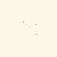 CCc1ccc(-c2cnn(C)c2)cc1S(=O)(=O)N1CCNc2cccc(C)c21